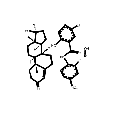 CCO.C[C@]12CCC(=O)C=C1CC[C@@H]1[C@@H]2CC[C@@]2(C)[C@H]1CC[C@]2(C)O.O=C(Nc1ccc([N+](=O)[O-])cc1Cl)c1cc(Cl)ccc1O